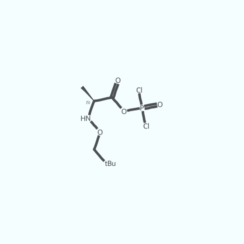 C[C@H](NOCC(C)(C)C)C(=O)OP(=O)(Cl)Cl